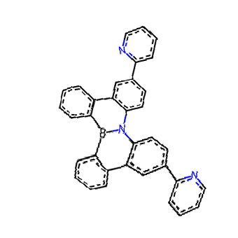 c1ccc(-c2ccc3c(c2)-c2ccccc2B2c4ccccc4-c4cc(-c5ccccn5)ccc4N23)nc1